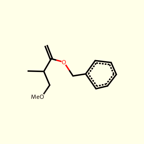 C=C(OCc1ccccc1)C(C)COC